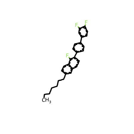 CCCCCCCc1ccc2c(F)c(-c3ccc(-c4ccc(F)c(F)c4)cc3)ccc2c1